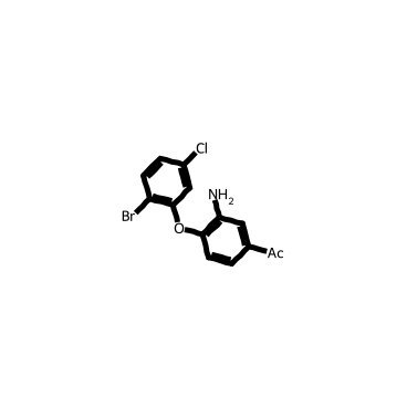 CC(=O)c1ccc(Oc2cc(Cl)ccc2Br)c(N)c1